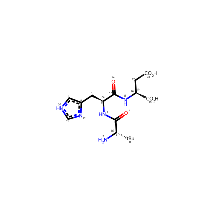 CC(C)(C)[C@H](N)C(=O)N[C@@H](Cc1c[nH]cn1)C(=O)N[C@@H](CC(=O)O)C(=O)O